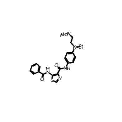 CCN(CCNC)c1ccc(NC(=O)c2ncsc2NC(=O)c2ccccc2)cc1